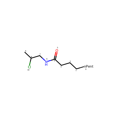 CCCCCCCCC(=O)NCC(C)Cl